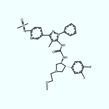 COCCN1C[C@@H](NC(=O)Nc2c(C)c(-c3ccc(N=S(C)(C)=O)nc3)nn2-c2ccccc2)[C@H](c2ccc(F)c(F)c2)C1